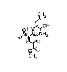 C=CCC(CO)Nc1c(N)cc(C(=O)OC)cc1[N+](=O)[O-]